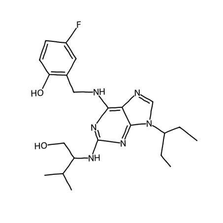 CCC(CC)n1cnc2c(NCc3cc(F)ccc3O)nc(NC(CO)C(C)C)nc21